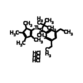 CCc1cc(CC)cc([Si](C)([Ti][C]2=C(C)C(C)=C(C)C2C)C(C)(C)C)c1.Cl.Cl.Cl